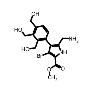 COC(=O)c1[nH]c(CN)c(-c2ccc(CO)c(CO)c2CO)c1Br